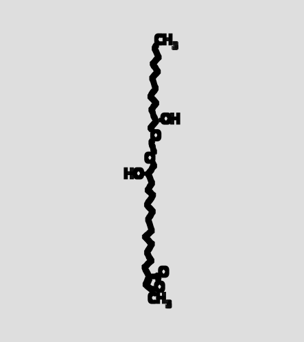 CCCCCCCCCC[C@H](O)COCCOC[C@@H](O)CCCCCCCCCCCCC1=C[C@H](C)OC1=O